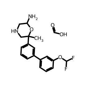 CC1(c2cccc(-c3cccc(OC(F)F)c3)c2)CNCC(N)O1.O=CO